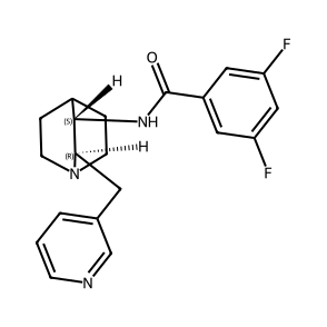 O=C(N[C@H]1C2CCN(CC2)[C@@H]1Cc1cccnc1)c1cc(F)cc(F)c1